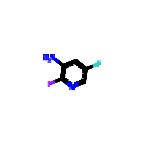 Nc1cc(F)cnc1I